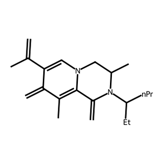 C=C(C)C1=CN2CC(C)N(C(CC)CCC)C(=C)C2=C(C)C1=C